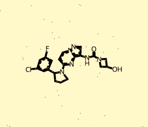 O=C(Nc1cnn2ccc(N3CCCC3c3cc(F)cc(Cl)c3)nc12)N1CC(O)C1